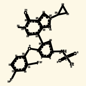 CCS(=O)(=O)Nc1ccc(Oc2ccc(F)cc2F)c(-c2cn(C)c(=O)c3cn(C4CC4)nc23)c1